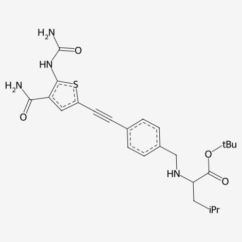 CC(C)CC(NCc1ccc(C#Cc2cc(C(N)=O)c(NC(N)=O)s2)cc1)C(=O)OC(C)(C)C